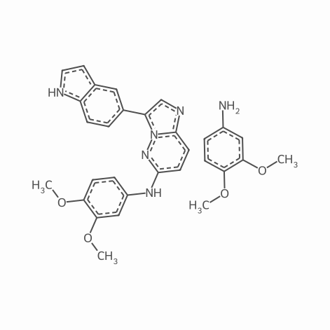 COc1ccc(N)cc1OC.COc1ccc(Nc2ccc3ncc(-c4ccc5[nH]ccc5c4)n3n2)cc1OC